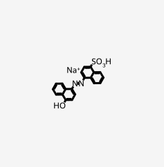 O=S(=O)(O)c1ccc(N=Nc2ccc(O)c3ccccc23)c2ccccc12.[Na+]